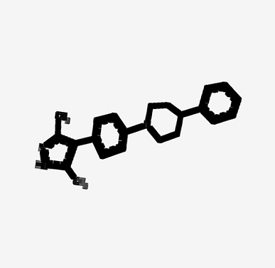 Cc1n[nH]c(C)c1-c1ccc(N2CCC(c3ccccc3)CC2)cc1